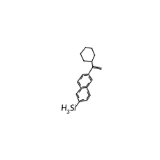 C=C(c1ccc2cc([SiH3])ccc2c1)C1CCCCC1